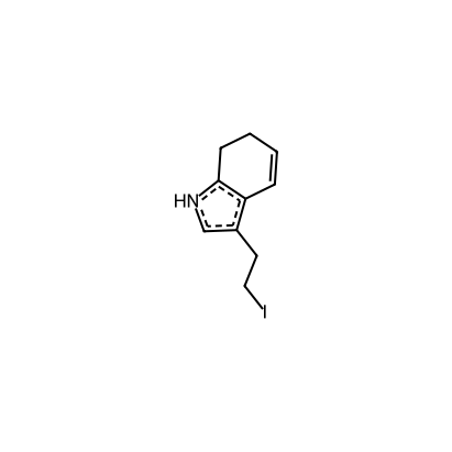 ICCc1c[nH]c2c1C=CCC2